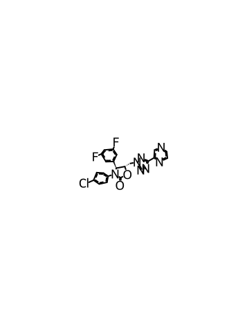 O=C1O[C@@H](Cn2nnc(-c3cnccn3)n2)[C@H](c2cc(F)cc(F)c2)N1c1ccc(Cl)cc1